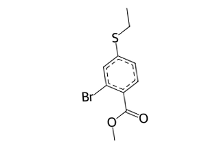 CCSc1ccc(C(=O)OC)c(Br)c1